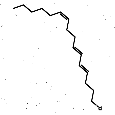 CCCCC/C=C\CCC=CC=CCCCCl